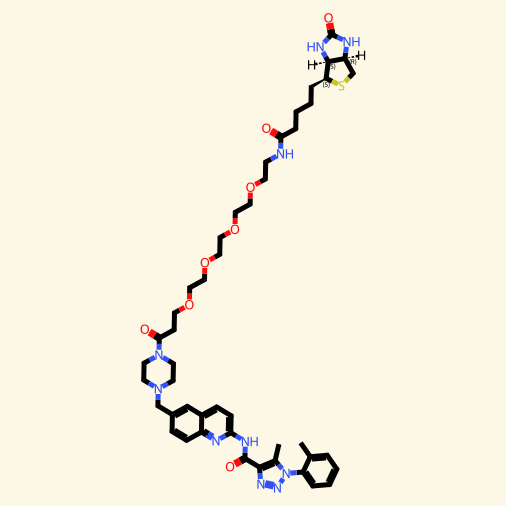 Cc1ccccc1-n1nnc(C(=O)Nc2ccc3cc(CN4CCN(C(=O)CCOCCOCCOCCOCCNC(=O)CCCC[C@@H]5SC[C@@H]6NC(=O)N[C@@H]65)CC4)ccc3n2)c1C